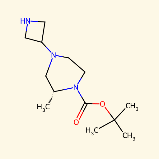 C[C@@H]1CN(C2CNC2)CCN1C(=O)OC(C)(C)C